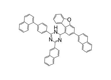 c1ccc2cc(C3=NC(c4cc(-c5ccc6ccccc6c5)cc5oc6ccccc6c45)NC(c4ccc(-c5cccc6ccccc56)cc4)=N3)ccc2c1